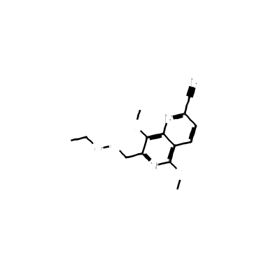 CCOOCc1nc(OC)c2ccc(C#N)nc2c1OC